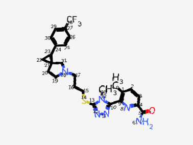 Cc1ccc(C(N)=O)nc1-c1nnc(SCCCN2CCC3(CC3c3ccc(C(F)(F)F)cc3)C2)n1C